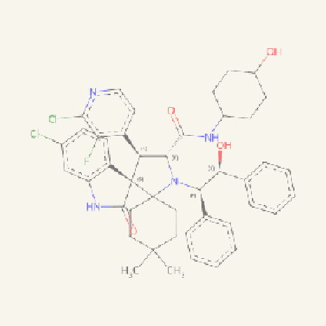 CC1(C)CCC2(CC1)N([C@H](c1ccccc1)[C@@H](O)c1ccccc1)[C@@H](C(=O)NC1CCC(O)CC1)[C@H](c1ccnc(Cl)c1F)[C@@]21C(=O)Nc2cc(Cl)ccc21